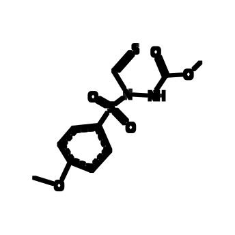 COC(=O)NN(C=S)S(=O)(=O)c1ccc(OC)cc1